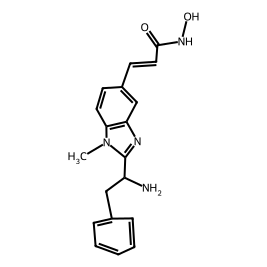 Cn1c(C(N)Cc2ccccc2)nc2cc(C=CC(=O)NO)ccc21